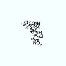 CCC(c1ccccc1C(=O)Nc1ccc([N+](=O)[O-])cc1Cl)C(CC(C)Cl)C(=O)O